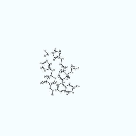 C=CCOC(=O)NC(COc1ccc2ncc(F)cc2c1C(=O)NC(CC(=O)O)C(=O)NCCc1nc(C2CC2)no1)Cc1ccccc1